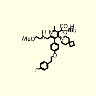 COCCNCc1nc(C)c(C(OC(C)(C)C)C(=O)O)c(N2CCC3(CCC3)CC2)c1-c1ccc(OCCc2ccc(F)cc2)cc1